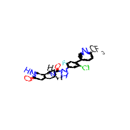 O=C(Nc1cc(Cl)c(-c2ccc(C(F)(F)F)nc2)cc1F)N1[C@H]2CC[C@@H]1c1c[nH]c(=O)cc1C2